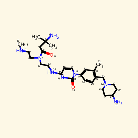 CC(C)(N)CC(=O)N(CCNC=O)CCNc1ccn(-c2ccc(CN3CCC(N)CC3)c(C(F)(F)F)c2)c(=O)n1